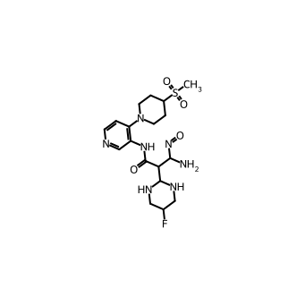 CS(=O)(=O)C1CCN(c2ccncc2NC(=O)C(C(N)N=O)C2NCC(F)CN2)CC1